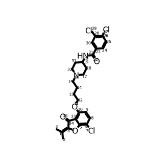 CC(C)=C1Oc2c(Cl)ccc(OCCCCN3CCC(NC(=O)c4ccc(Cl)c(Cl)c4)CC3)c2C1=O